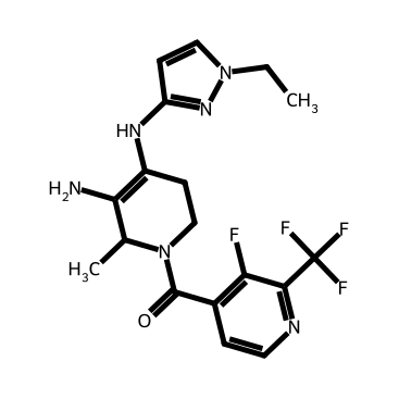 CCn1ccc(NC2=C(N)C(C)N(C(=O)c3ccnc(C(F)(F)F)c3F)CC2)n1